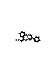 C=CC([Se]O[Se]C(C=C)c1ccccc1)c1ccccc1